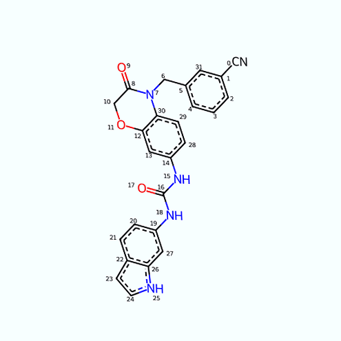 N#Cc1cccc(CN2C(=O)COc3cc(NC(=O)Nc4ccc5cc[nH]c5c4)ccc32)c1